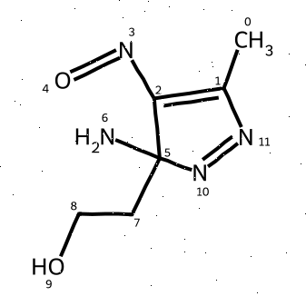 CC1=C(N=O)C(N)(CCO)N=N1